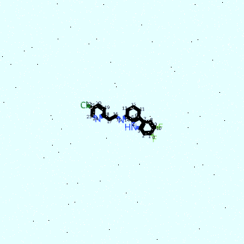 Fc1cc2[nH]c3c(c2cc1F)CCC/C3=N\CCc1ccc(Cl)cn1